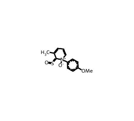 COc1ccc([N+]2([O-])C=CC=C(C)C2=S=O)cc1